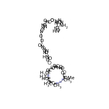 CO[C@H]1CC2CCCC(O2)C(=O)C(=O)N2CCCC[C@H]2C(=O)O[C@H](CC[C@H]2CC[C@H](OC(=O)NCc3cnc(N4CCN(C(=O)CCOCCOCCN5CCN(c6ncc(C(=O)N7CCc8cc(Cn9nc(-c%10cnc%11[nH]ccc%11c%10)c%10c(N)ncnc%109)ccc8C7)cn6)CC5)CC4)nc3)CC2)CC(=O)[C@H](C)/C=C(\C)[C@@H](O)CC(=O)[C@H](C)C[C@H](C)/C=C/C=C/C=C/1C